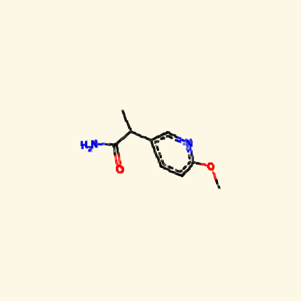 COc1ccc(C(C)C(N)=O)cn1